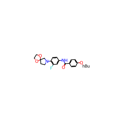 CCCCOc1ccc(C(=O)Nc2ccc(N3CCC4(C3)OCCO4)c(F)c2)cc1